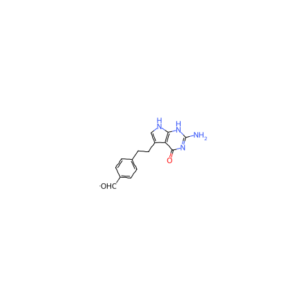 Nc1nc(=O)c2c(CCc3ccc([C]=O)cc3)c[nH]c2[nH]1